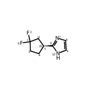 FC1(F)CC[C@H](c2ncc[nH]2)C1